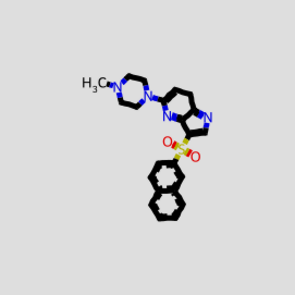 CN1CCN(C2=CCC3=NC=C(S(=O)(=O)c4ccc5ccccc5c4)C3=N2)CC1